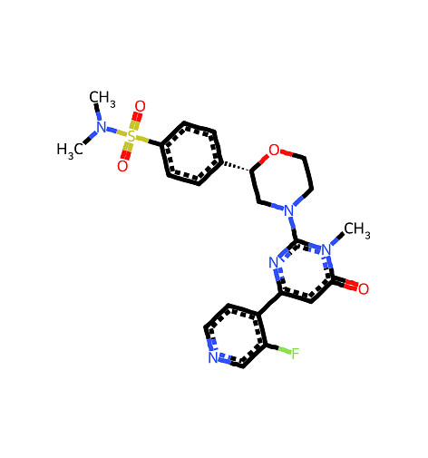 CN(C)S(=O)(=O)c1ccc([C@H]2CN(c3nc(-c4ccncc4F)cc(=O)n3C)CCO2)cc1